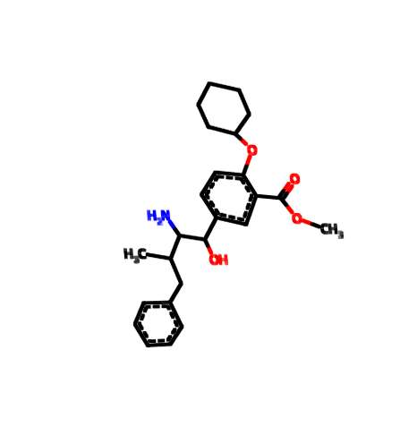 COC(=O)c1cc(C(O)C(N)C(C)Cc2ccccc2)ccc1OC1CCCCC1